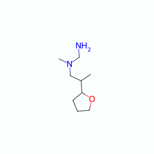 CC(CN(C)CN)C1CCCO1